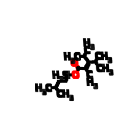 CC(C(=O)O[SiH2]CCC(C)C)=C(C(C)C)C(C)C